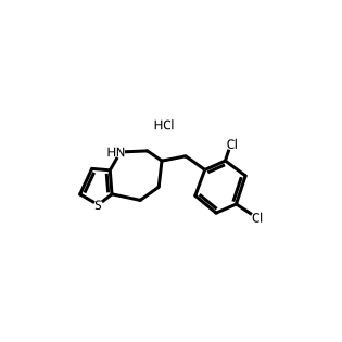 Cl.Clc1ccc(CC2CCc3sccc3NC2)c(Cl)c1